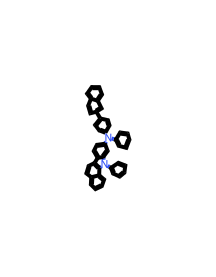 c1ccc(N(c2ccc(-c3ccc4ccccc4c3)cc2)c2ccc3c4ccc5ccccc5c4n(-c4ccccc4)c3c2)cc1